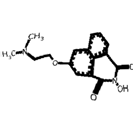 CN(C)CCOc1cc2c3c(cccc3c1)C(=O)N(O)C2=O